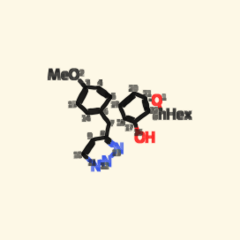 CCCCCC[O].COc1ccc(Cc2ccnnn2)cc1.Oc1ccccc1